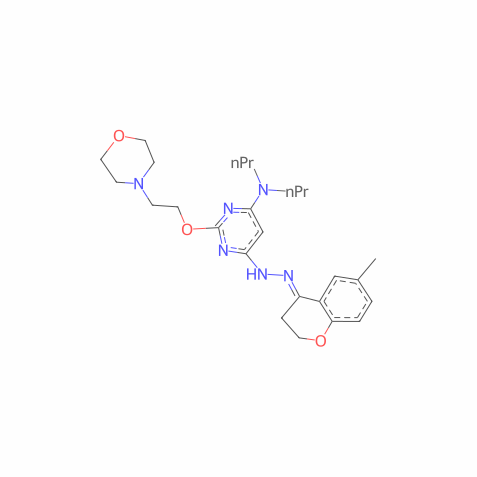 CCCN(CCC)c1cc(N/N=C2\CCOc3ccc(C)cc32)nc(OCCN2CCOCC2)n1